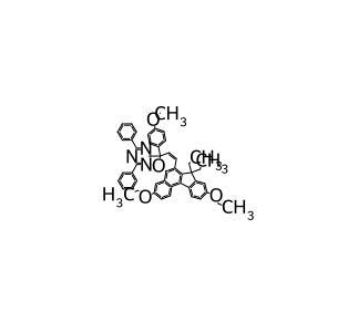 CCOc1ccc2c(c1)C(CC)(CC)c1c3c(c4cc(OCC)ccc4c1-2)OC(c1ccc(OC)cc1)(c1nc(-c2ccccc2)nc(-c2ccccc2)n1)C=C3